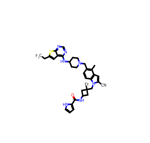 CCC1(Cn2c(C#N)cc3c(C)c(CN4CCC(Nc5ncnc6sc(CC(F)(F)F)cc56)CC4)ccc32)CC(NC(=O)c2ccc[nH]2)C1